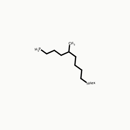 CCCCCCCCCCC(C)CCCP